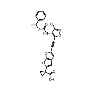 CC(OC(=O)Nc1c(Cl)noc1C#Cc1cc2cc(C3(C(=O)O)CC3)oc2o1)c1ccccc1